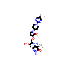 C[C@@H](O)[C@@H](CO[C@@H]1CCN(C2CCN(c3ncc(C(F)(F)F)cn3)CC2)C1=O)Nc1cn[nH]c(=O)c1C(F)(F)F